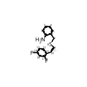 Nc1ccccc1CS/C=C\c1ccc(F)cc1F